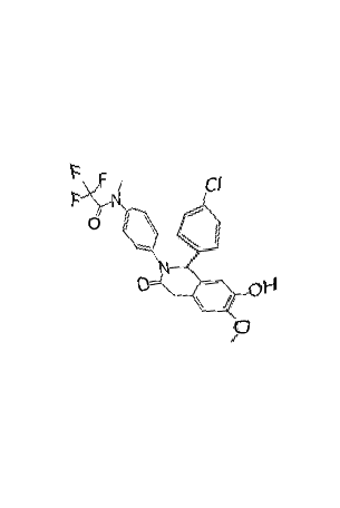 COc1cc2c(cc1O)C(c1ccc(Cl)cc1)N(c1ccc(N(C)C(=O)C(F)(F)F)cc1)C(=O)C2